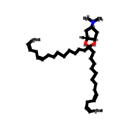 CCCCC/C=C\C/C=C\CCCCCCCCC1(CCCCCCCC/C=C\C/C=C\CCCCC)OC2CC(N(C)C)C[C@@H]2O1